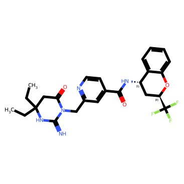 CCC1(CC)CC(=O)N(Cc2cc(C(=O)N[C@H]3C[C@H](C(F)(F)F)Oc4ccccc43)ccn2)C(=N)N1